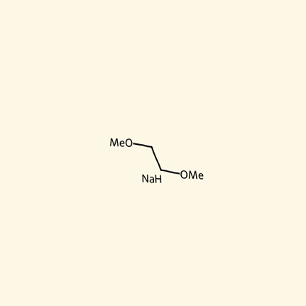 COCCOC.[NaH]